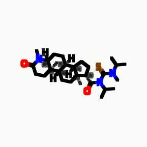 CC(C)N(C)C(=S)N(C(=O)[C@H]1CC[C@H]2[C@@H]3CC[C@H]4N(C)C(=O)CC[C@]4(C)[C@H]3CC[C@]12C)C(C)C